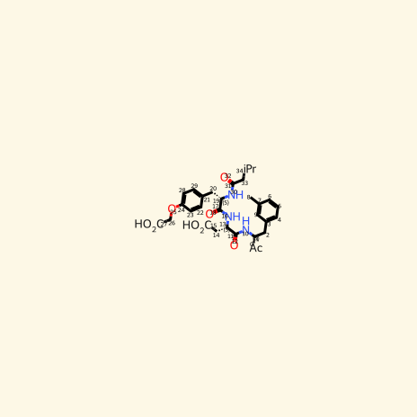 CC(=O)[C@H](Cc1cccc(C)c1)NC(=O)[C@H](CC(=O)O)NC(=O)[C@H](Cc1ccc(OCC(=O)O)cc1)NC(=O)CC(C)C